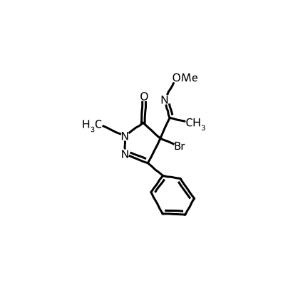 CON=C(C)C1(Br)C(=O)N(C)N=C1c1ccccc1